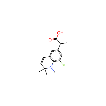 CC(C(=O)O)c1cc(F)c2c(c1)C=CC(C)(C)N2C